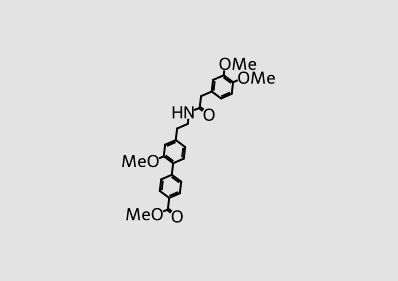 COC(=O)c1ccc(-c2ccc(CCNC(=O)Cc3ccc(OC)c(OC)c3)cc2OC)cc1